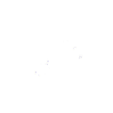 Cc1cccc(CN2CC(=Cc3ccc(C(=O)Nc4ccccc4N)cc3)C2)n1